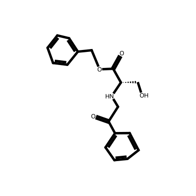 O=C(CN[C@@H](CO)C(=O)OCc1ccccc1)c1ccccc1